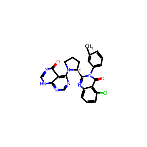 Cc1cccc(-n2c([C@@H]3CCCN3c3ncnc4[nH]cnc(=O)c34)nc3cccc(Cl)c3c2=O)c1